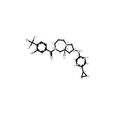 O=C(c1ccc(C(F)(F)F)c(F)c1)N1CCCN2C[C@@H](Oc3cnc(C4CC4)cn3)C[C@@H]2C1